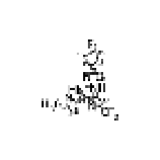 Cc1csc(CN/C(=N/C(=O)c2ccc(F)cc2)Nc2cc(C(F)(F)F)n[nH]2)n1